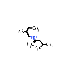 C=C(CC(C)C)N/C=C(/C)CC